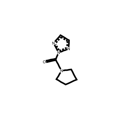 O=C(N1CCCC1)n1nccn1